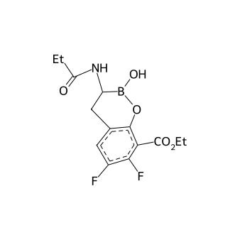 CCOC(=O)c1c(F)c(F)cc2c1OB(O)C(NC(=O)CC)C2